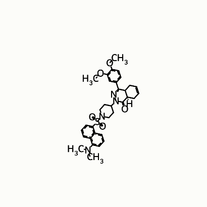 COc1ccc(C2=NN(C3CCN(S(=O)(=O)c4cccc5c(N(C)C)cccc45)CC3)C(=O)[C@@H]3CC=CCC23)cc1OC